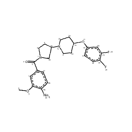 COc1cc(C(=O)N2CCC(N3CCC(Oc4ccc(F)c(F)c4)CC3)C2)ccc1N